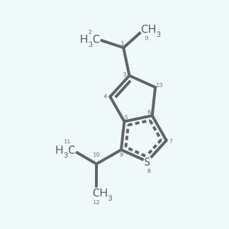 CC(C)C1=Cc2c(csc2C(C)C)C1